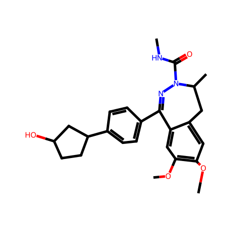 CNC(=O)N1N=C(c2ccc(C3CCC(O)C3)cc2)c2cc(OC)c(OC)cc2CC1C